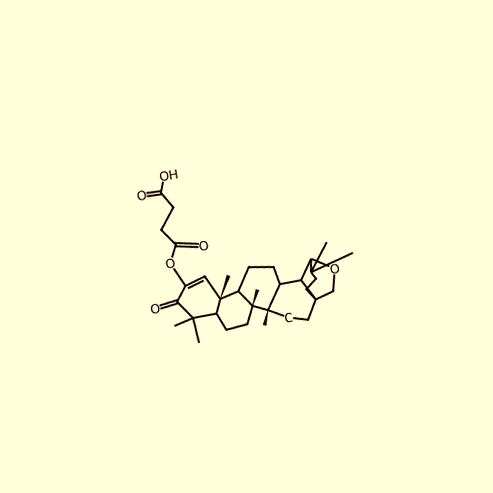 CC1(C)CCC23CC[C@@]4(C)C(CCC5[C@@]6(C)C=C(OC(=O)CCC(=O)O)C(=O)C(C)(C)C6CC[C@]54C)C2C1OC3